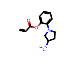 C=CC(=O)Oc1ccccc1N1CCC(N)C1